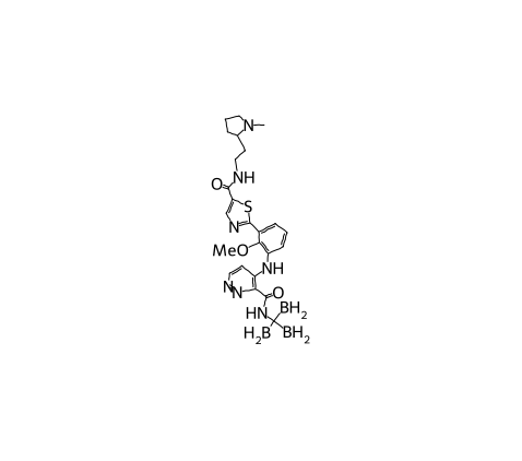 BC(B)(B)NC(=O)c1nnccc1Nc1cccc(-c2ncc(C(=O)NCCC3CCCN3C)s2)c1OC